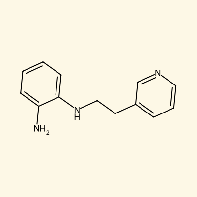 Nc1ccccc1NCCc1cccnc1